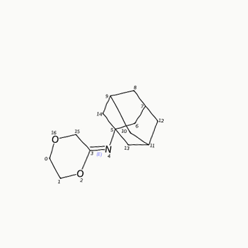 C1CO/C(=N/C23CC4CC(CC(C4)C2)C3)CO1